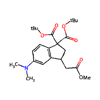 COC(=O)CC1CC(C(=O)OC(C)(C)C)(C(=O)OC(C)(C)C)c2ccc(N(C)C)cc21